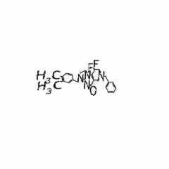 Cc1ccc(CN2CCn3c2nc(=O)c2c3C(F)(F)CN(Cc3ccccc3)C2)cc1C